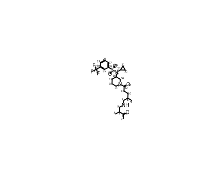 CC(=O)C(C)CNCC(C)CCC(=O)N1CCCC(N(C2CC2)S(=O)(=O)c2cccc(C(F)(F)F)c2)C1